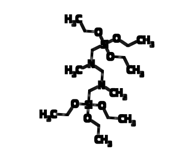 CCO[Si](CN(C)CN(C)C[Si](OCC)(OCC)OCC)(OCC)OCC